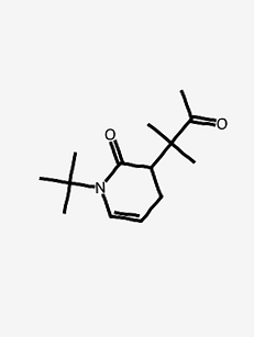 CC(=O)C(C)(C)C1CC=CN(C(C)(C)C)C1=O